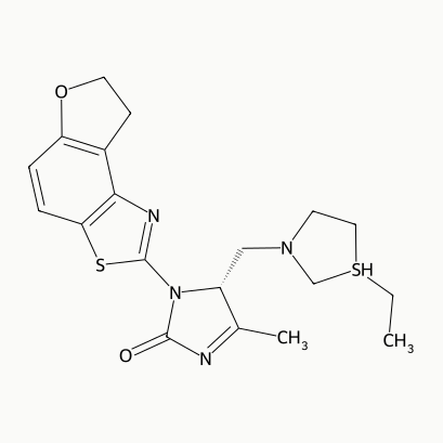 CC[SH]1CCN(C[C@@H]2C(C)=NC(=O)N2c2nc3c4c(ccc3s2)OCC4)C1